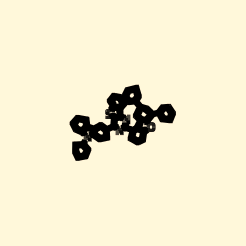 c1ccc(-c2cc(-c3ccccc3)c3oc4cccc(-c5nc(-c6ccc7c(c6)c6ccccc6n7-c6ccccc6)c6sc7ccccc7c6n5)c4c3c2)cc1